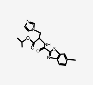 Cc1ccc2nc(C(=O)NC(Cn3ccnc3)C(=O)OC(C)C)sc2c1